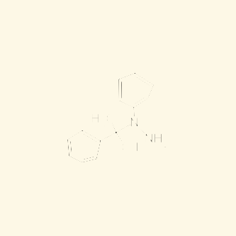 CC(C)(c1ccccc1)N(N)c1ccccc1